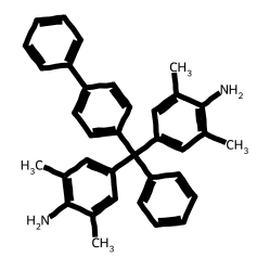 Cc1cc(C(c2ccccc2)(c2ccc(-c3ccccc3)cc2)c2cc(C)c(N)c(C)c2)cc(C)c1N